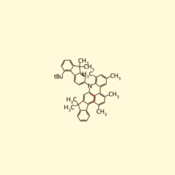 Cc1ccc(-c2cc(C)cc(C)c2N(c2ccc3c(c2)C(C)(C)c2ccccc2-3)c2ccc3c(c2)C(C)(C)c2cccc(C(C)(C)C)c2-3)c(C)c1